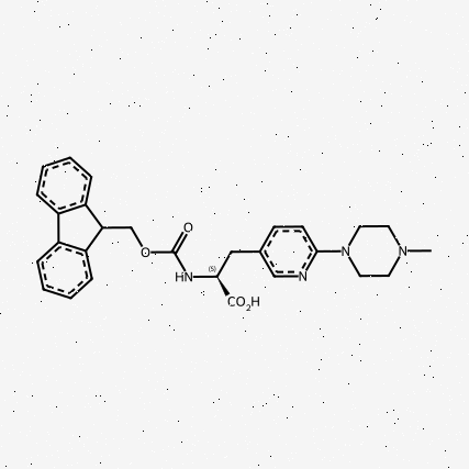 CN1CCN(c2ccc(C[C@H](NC(=O)OCC3c4ccccc4-c4ccccc43)C(=O)O)cn2)CC1